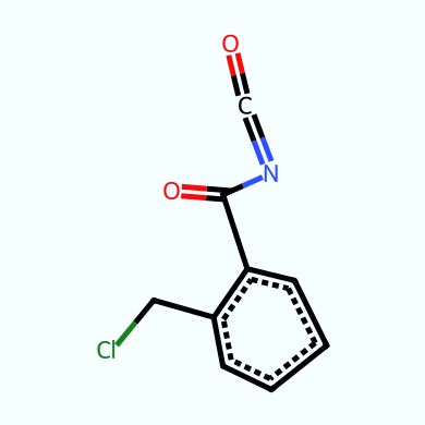 O=C=NC(=O)c1ccccc1CCl